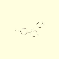 COc1ccc(-c2ccnc(-c3ccccc3)n2)cc1